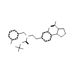 CC(C)(C)OC(=O)N(CCc1ccc2c(c1)N=C(N)C1CCCC21)Cc1cccc(Cl)c1